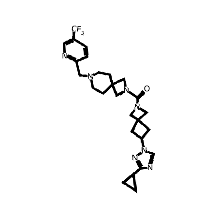 O=C(N1CC2(CCN(Cc3ccc(C(F)(F)F)cn3)CC2)C1)N1CC2(CC(n3cnc(C4CC4)n3)C2)C1